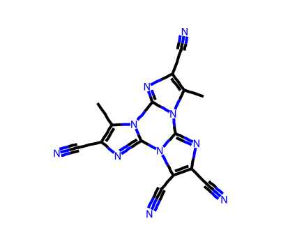 Cc1c(C#N)nc2n1c1nc(C#N)c(C)n1c1nc(C#N)c(C#N)n21